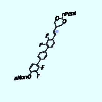 CCCCCCCCCOc1ccc(-c2ccc(-c3ccc(/C=C/C4COC(CCCCC)OC4)c(F)c3F)cc2)c(F)c1F